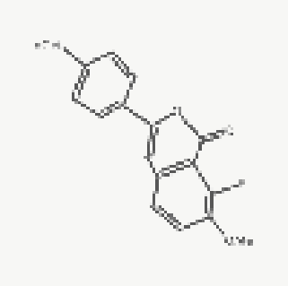 CCCCCCCCc1ccc(-c2cc3ccc(OC)c(F)c3c(=O)o2)cc1